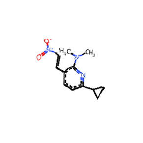 CN(C)c1nc(C2CC2)ccc1C=C[N+](=O)[O-]